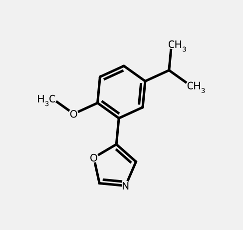 COc1ccc(C(C)C)cc1-c1cnco1